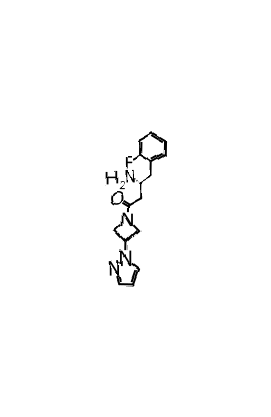 N[C@@H](CC(=O)N1CC(n2cccn2)C1)Cc1ccccc1F